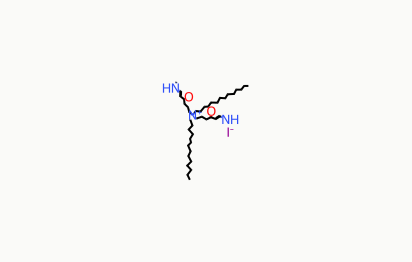 CCCCCCCCCCCCCC[N+](CCCCCCCCCCCCCC)(CCCC(=O)C=CNC)CCCC(=O)C=CNC.[I-]